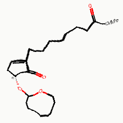 COC(=O)CCCCCCC1=CC[C@@H](OC2CCCCO2)C1=O